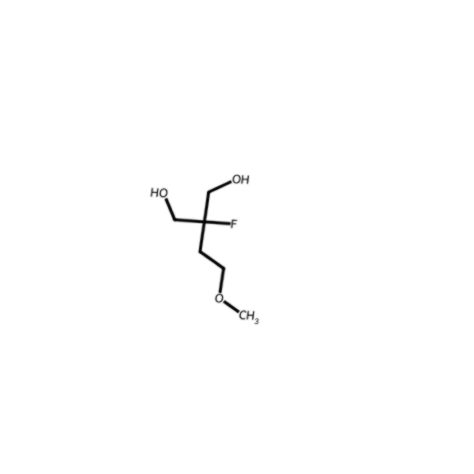 COCCC(F)(CO)CO